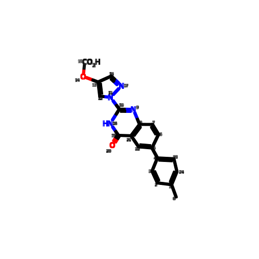 Cc1ccc(-c2ccc3nc(-n4cc(OC(=O)O)cn4)[nH]c(=O)c3c2)cc1